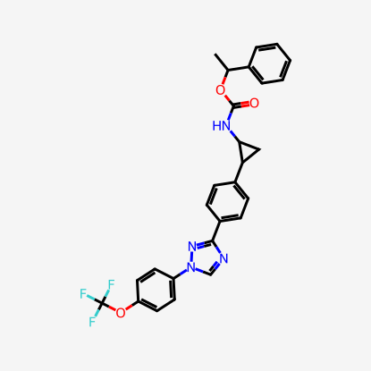 CC(OC(=O)NC1CC1c1ccc(-c2ncn(-c3ccc(OC(F)(F)F)cc3)n2)cc1)c1ccccc1